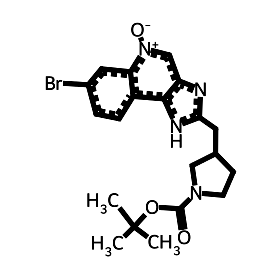 CC(C)(C)OC(=O)N1CCC(Cc2nc3c[n+]([O-])c4cc(Br)ccc4c3[nH]2)C1